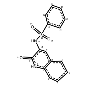 O=c1[nH]c2ccccc2cc1NS(=O)(=O)c1ccccc1